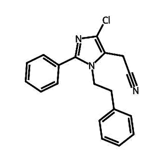 N#CCc1c(Cl)nc(-c2ccccc2)n1CCc1ccccc1